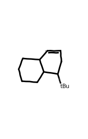 CC(C)(C)C1CC=[C]C2CCCCC21